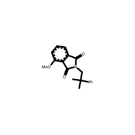 COc1cccc2c1C(=O)N(CC(C)(C)C(C)C)C2=O